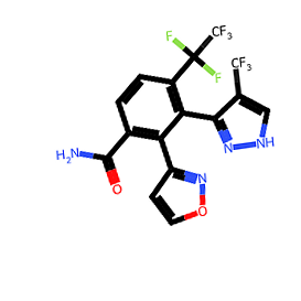 NC(=O)c1ccc(C(F)(F)C(F)(F)F)c(-c2n[nH]cc2C(F)(F)F)c1-c1ccon1